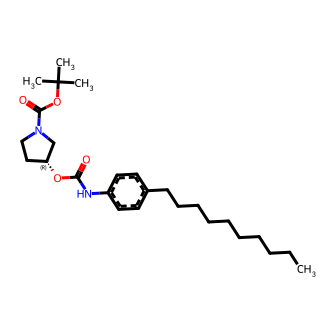 CCCCCCCCCCc1ccc(NC(=O)O[C@@H]2CCN(C(=O)OC(C)(C)C)C2)cc1